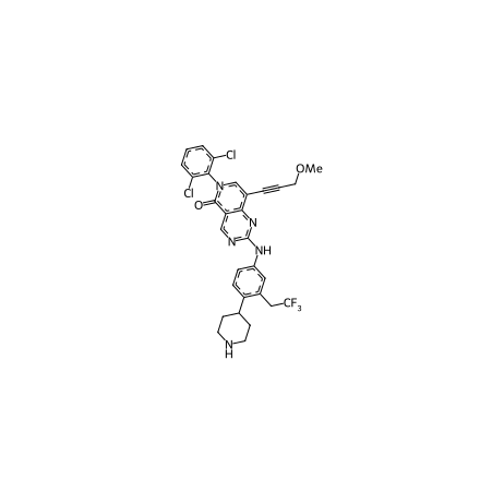 COCC#Cc1cn(-c2c(Cl)cccc2Cl)c(=O)c2cnc(Nc3ccc(C4CCNCC4)c(CC(F)(F)F)c3)nc12